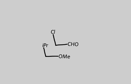 COCC(C)C.O=CCCl